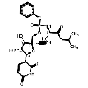 C#C[C@]1(COP(=O)(N[C@@H](C)C(=O)OC(C)C)Oc2ccccc2)O[C@@H](C2C=CC(=O)NC2=O)[C@H](O)[C@@H]1O